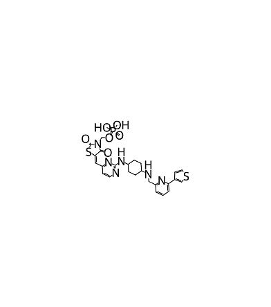 O=C1S/C(=C/c2ccnc(NC3CCC(NCc4cccc(-c5ccsc5)n4)CC3)n2)C(=O)N1COP(=O)(O)O